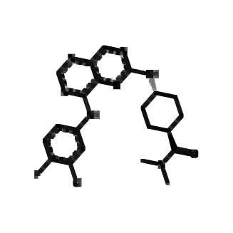 CN(C)C(=O)[C@H]1CC[C@H](Nc2ncc3ncnc(Nc4ccc(F)c(Cl)c4)c3n2)CC1